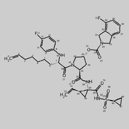 C=CCCCCC[C@H](Nc1ccc(F)cc1)C(=O)N1C[C@H](OC(=O)N2Cc3cccc(F)c3C2)C[C@H]1C(=O)N[C@]1(C(=O)NS(=O)(=O)C2CC2)C[C@H]1C=C